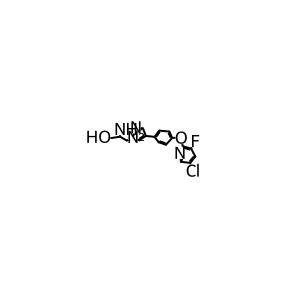 NC(CO)Cn1cc(-c2ccc(Oc3ncc(Cl)cc3F)cc2)cn1